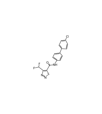 O=C(Nc1ccc(-c2ccc(Cl)cc2)cc1)c1snnc1C(F)F